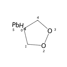 C1COOC1.[PbH4]